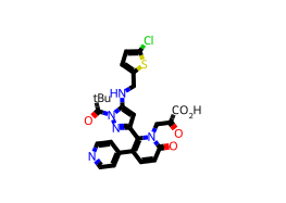 CC(C)(C)C(=O)n1nc(-c2c(-c3ccncc3)ccc(=O)n2CC(=O)C(=O)O)cc1NCc1ccc(Cl)s1